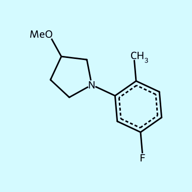 COC1CCN(c2cc(F)ccc2C)C1